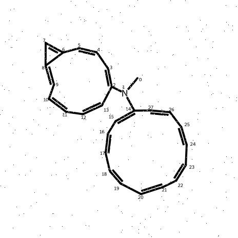 CN(C1=C/C=C\C2=CC/2=C\C=C/C=C\1)c1ccccccccccccc1